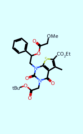 CCOC(=O)c1sc2c(c1C)c(=O)n(CC(=O)OC(C)(C)C)c(=O)n2CC(OC(=O)COC)c1ccccc1